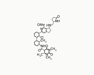 COc1nc(-c2cccc(-c3cccc(NC(=O)c4c(C)n(C)c(=O)n(C)c4=O)c3C)c2Cl)cc2c1C(NCC1CCC(=O)N1)CC2